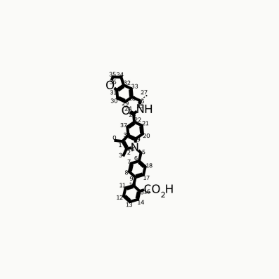 Cc1c(C)n(Cc2ccc(-c3ccccc3C(=O)O)cc2)c2ccc(C(=O)N[C@@H](C)c3ccc4c(c3)CCO4)cc12